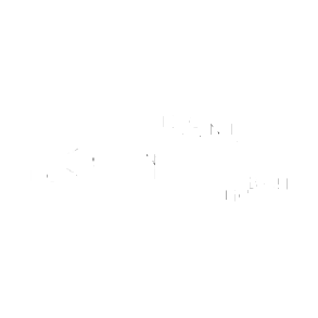 NC(CCCCB(O)O)(C(=O)O)C1CC(NCCCc2ccc(C(F)(F)F)cc2)C1